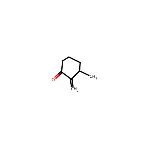 C=C1C(=O)CCCC1C